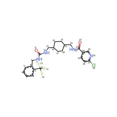 O=C(NCc1ccccc1C(F)(F)F)NCC1CCC(CNC(=O)c2ccc(Cl)nc2)CC1